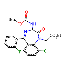 CCOC(=O)CN1C(=O)C(NC(=O)OC(C)(C)C)N=C(c2ccccc2F)c2cccc(Cl)c21